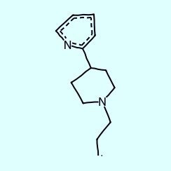 [CH2]CCN1CCC(c2ccccn2)CC1